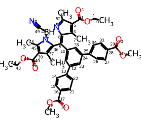 CCOC(=O)C1=C(C)/C(=C(\c2cc(-c3ccc(C(=O)OC)cc3)cc(-c3ccc(C(=O)OC)cc3)c2)c2c(C)c(C(=O)OCC)c(C)n2BC#N)N=C1C